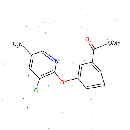 COC(=O)c1cccc(Oc2ncc([N+](=O)[O-])cc2Cl)c1